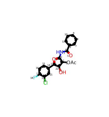 CC(=O)Oc1c(NC(=O)c2ccccc2)oc(-c2ccc(F)c(Cl)c2)c1O